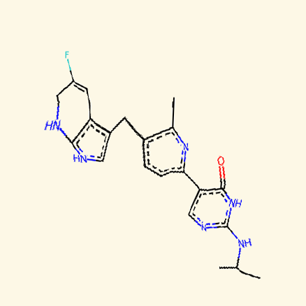 Cc1nc(-c2cnc(NC(C)C)[nH]c2=O)ccc1Cc1c[nH]c2c1C=C(F)CN2